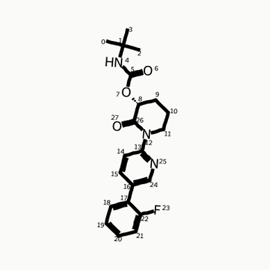 CC(C)(C)NC(=O)O[C@@H]1CCCN(c2ccc(-c3ccccc3F)cn2)C1=O